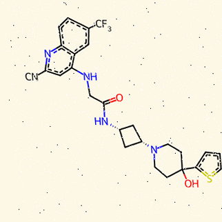 [C-]#[N+]c1cc(NCC(=O)N[C@H]2C[C@@H](N3CCC(O)(c4cccs4)CC3)C2)c2cc(C(F)(F)F)ccc2n1